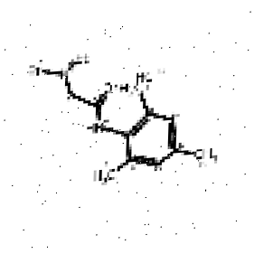 CCN(CC)CC(=O)Nc1c(C)cc(C)cc1C.Cl